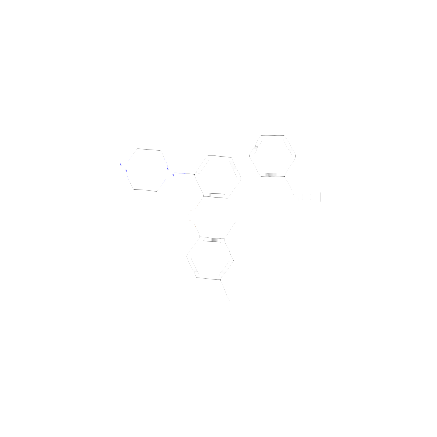 Cc1ccc(Sc2ccccc2N2CCNCC2)c(C)c1.O=S(=O)(O)c1ccccc1